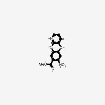 COC(=O)c1cc2c(cc1[N+](=O)[O-])Oc1cccnc1O2